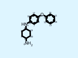 NC1CCC(Nc2ccc(Oc3ccccc3)cc2)CC1